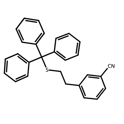 N#Cc1cccc(CCSC(c2ccccc2)(c2ccccc2)c2ccccc2)c1